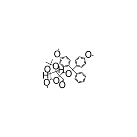 COc1ccc(C(OC[C@@]2(C=O)O[C@@H](OC)[C@@H]3OC(C)(C)O[C@@H]32)(c2ccccc2)c2ccc(OC)cc2)cc1